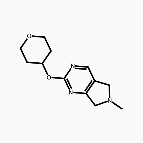 CN1Cc2cnc(OC3CCOCC3)nc2C1